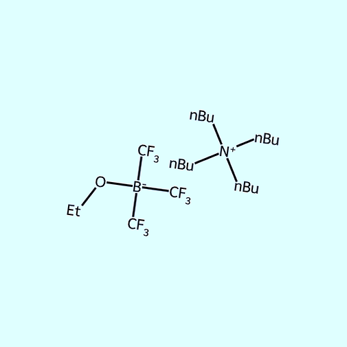 CCCC[N+](CCCC)(CCCC)CCCC.CCO[B-](C(F)(F)F)(C(F)(F)F)C(F)(F)F